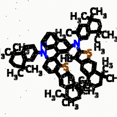 Cc1cc2c(cc1N1c3cc4ccccc4c(-c4c(Nc5ccc6c(c5)C(C)(C)CCC6(C)C)ccc5c4sc4cc6c(cc45)C(C)(C)CCC6(C)C)c3Bc3c1sc1cc4c(cc31)C(C)(C)CCC4(C)C)C(C)(C)CCC2(C)C